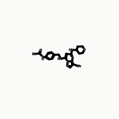 CCC(=O)Nc1ccc(CNc2cc(NC3CCOCC3)nc3c(C(C)C)cnn23)cc1